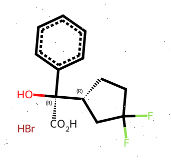 Br.O=C(O)[C@](O)(c1ccccc1)[C@@H]1CCC(F)(F)C1